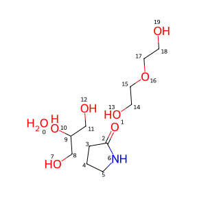 O.O=C1CCCN1.OCC(O)CO.OCCOCCO